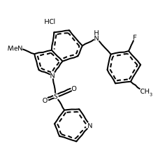 CNc1cn(S(=O)(=O)c2cccnc2)c2cc(Nc3ccc(C)cc3F)ccc12.Cl